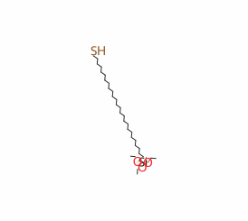 CCO[Si](CCCCCCCCCCCCCCCCCCCCCCCCCCS)(OCC)OCC